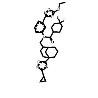 CCOc1nnc(-c2cccc(N(CC3CCC4(c5nc(C6CC6)no5)CCCC3C4)C(=O)C3CCC(F)(F)CC3)c2)o1